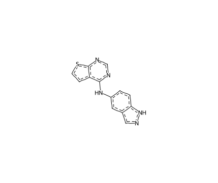 c1nc(Nc2ccc3[nH]ncc3c2)c2ccsc2n1